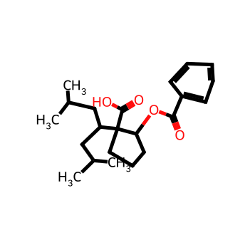 CC(C)CC(CC(C)C)C1(C(=O)O)CCCC1OC(=O)c1ccccc1